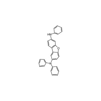 c1ccc(Nc2ccc3c(c2)oc2ccc(N(c4ccccc4)c4ccccc4)cc23)cc1